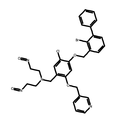 O=NCCN(CCN=O)Cc1cc(Cl)c(OCc2cccc(-c3ccccc3)c2Br)cc1OCc1cccnc1